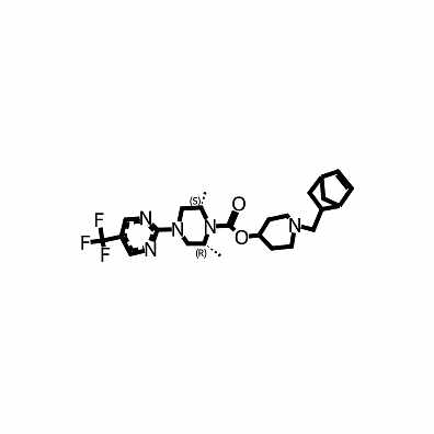 C[C@@H]1CN(c2ncc(C(F)(F)F)cn2)C[C@H](C)N1C(=O)OC1CCN(CC2CC3C=CC2C3)CC1